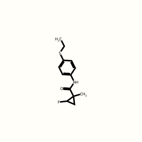 CCSc1ccc(NC(=O)C2(C)CC2F)cc1